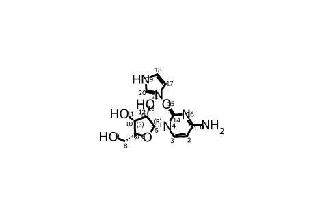 Nc1ccn([C@@H]2O[C@H](CO)[C@@H](O)[C@@H]2O)c(=O)n1.c1c[nH]cn1